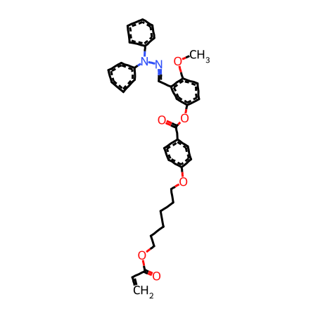 C=CC(=O)OCCCCCCOc1ccc(C(=O)Oc2ccc(OC)c(/C=N/N(c3ccccc3)c3ccccc3)c2)cc1